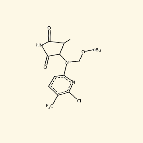 CCCCOCN(c1ccc(C(F)(F)F)c(Cl)n1)C1C(=O)NC(=O)C1C